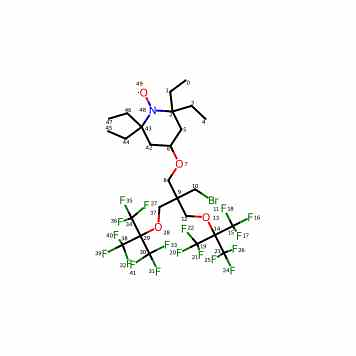 CCC1(CC)CC(OCC(CBr)(COC(C(F)(F)F)(C(F)(F)F)C(F)(F)F)COC(C(F)(F)F)(C(F)(F)F)C(F)(F)F)CC(CC)(CC)N1[O]